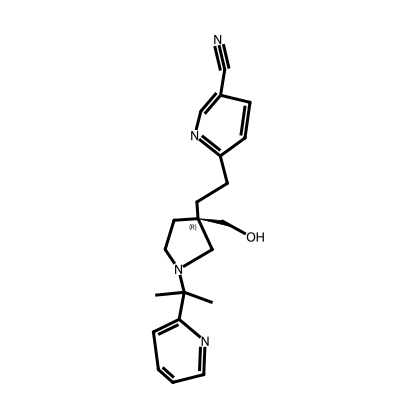 CC(C)(c1ccccn1)N1CC[C@](CO)(CCc2ccc(C#N)cn2)C1